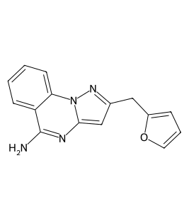 Nc1nc2cc(Cc3ccco3)nn2c2ccccc12